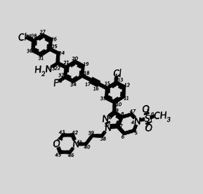 CS(=O)(=O)N1CCc2c(c(-c3ccc(Cl)c(C#Cc4ccc(C(N)Cc5ccc(Cl)cc5)c(F)c4)c3)nn2CCCN2CCOCC2)C1